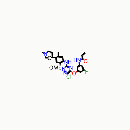 C=CC(=O)Nc1cc(F)cc(Oc2nc(Nc3cc(C)c(C4CCN(C)CC4)cc3OC)nnc2Cl)c1